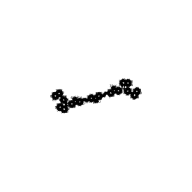 CC1(C)c2cc(/C=C/c3ccc4c(c3)C(C)(C)c3cc(N(c5ccc(-c6cccc7ccccc67)cc5)c5cccc6ccccc56)ccc3-4)ccc2-c2ccc(/C=C/c3ccc4c(c3)C(C)(C)c3cc(N(c5ccc(-c6cccc7ccccc67)cc5)c5cccc6ccccc56)ccc3-4)cc21